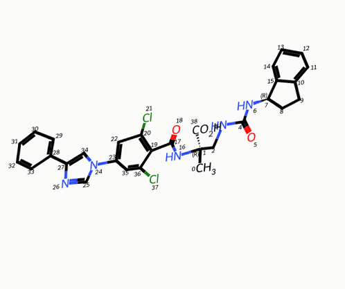 C[C@](CNC(=O)N[C@@H]1CCc2ccccc21)(NC(=O)c1c(Cl)cc(-n2cnc(-c3ccccc3)c2)cc1Cl)C(=O)O